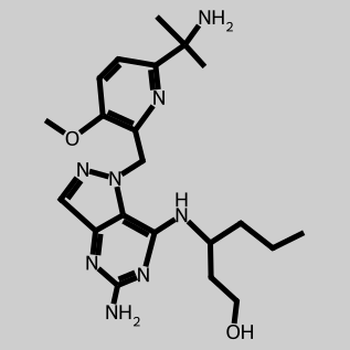 CCCC(CCO)Nc1nc(N)nc2cnn(Cc3nc(C(C)(C)N)ccc3OC)c12